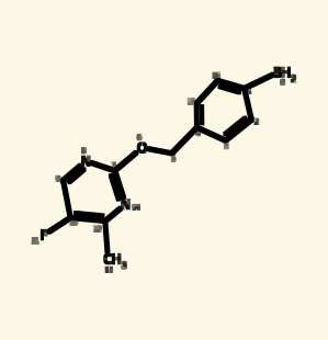 Bc1ccc(COc2ncc(F)c(C)n2)cc1